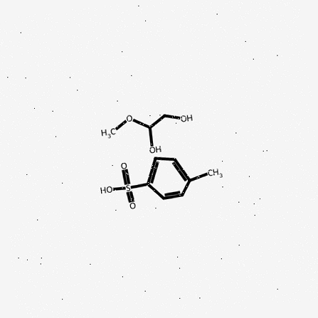 COC(O)CO.Cc1ccc(S(=O)(=O)O)cc1